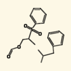 CC(C)Cc1ccccc1.CC(COC=O)S(=O)(=O)c1ccccc1